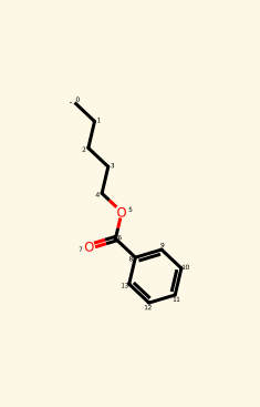 [CH2]CCCCOC(=O)c1ccccc1